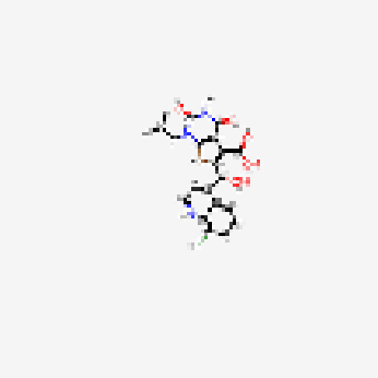 CC(C)Cn1c(=O)n(C)c(=O)c2c(C(=O)O)c(C(O)c3ccnc4c(F)cccc34)sc21